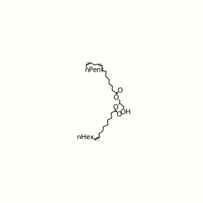 CCCCC/C=C\C/C=C\CCCCCCCC(=O)OCC(CO)OC(=O)CCCCCCC/C=C\CCCCCC